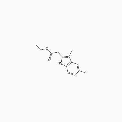 CCOC(=O)Cc1[nH]c2ccc(F)cc2c1C